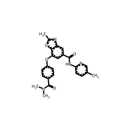 Cc1ccc(NC(=O)c2cc(Oc3ccc(C(=O)N(C)C)cc3)c3oc(C)nc3c2)nc1